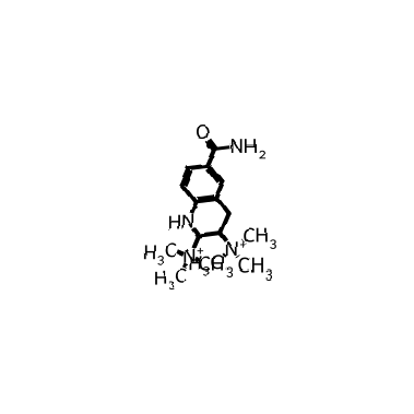 C[N+](C)(C)C1Cc2cc(C(N)=O)ccc2NC1[N+](C)(C)C